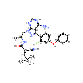 C[C@@H](Cn1nc(-c2ccc(Oc3ccccc3)cc2F)c2c(N)ncnc21)NC(=O)C(C#N)=CC(C)(C)C